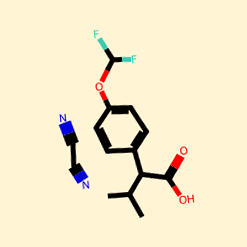 CC(C)C(C(=O)O)c1ccc(OC(F)F)cc1.N#CC#N